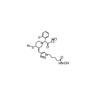 CC(=O)SC1CCN(C(C(=O)C2CC2)c2ccccc2F)CC1=Cc1cn(CCCCC(=O)NO)nn1.Cl